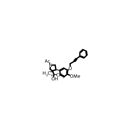 [CH2]C(=O)N1C[C@@H](c2ccc(OC)c(OCC#Cc3ccccc3)c2)[C@](C)([C@@H](C)O)C1